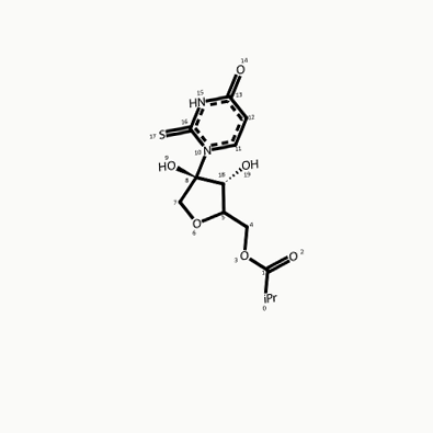 CC(C)C(=O)OCC1OC[C@](O)(n2ccc(=O)[nH]c2=S)[C@@H]1O